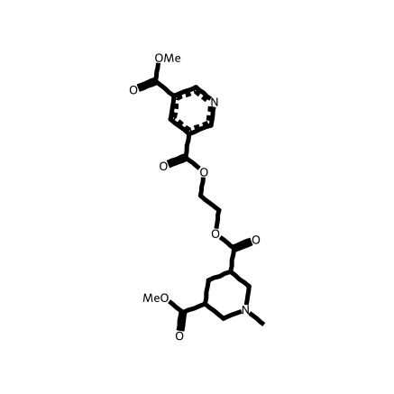 COC(=O)c1cncc(C(=O)OCCOC(=O)C2CC(C(=O)OC)CN(C)C2)c1